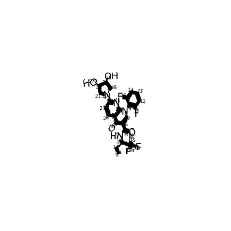 CC[C@@H](NC(=O)c1cn(-c2c(F)cccc2F)c2nc(N3C[C@@H](O)[C@H](O)C3)ccc2c1=O)C(F)(F)F